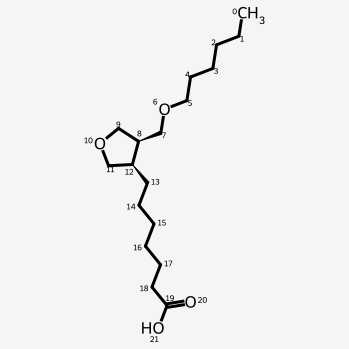 CCCCCCOC[C@@H]1COC[C@@H]1CCCCCCC(=O)O